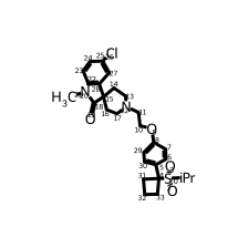 CC(C)S(=O)(=O)C1(c2ccc(OCCN3CCC4(CC3)C(=O)N(C)c3ccc(Cl)cc34)cc2)CCC1